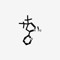 CC(C)(C)C1(C(C)(C)C)C=CN=C(c2ccccn2)C1.[CH3][Pd]